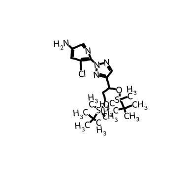 CC(C)(C)[Si](C)(C)OCC(O[Si](C)(C)C(C)(C)C)c1cnn(-c2ncc(N)cc2Cl)n1